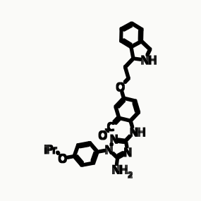 CC(C)Oc1ccc(-n2nc(NC3C=CC(OCCC4NCc5ccccc54)=CC3=C=O)nc2N)cc1